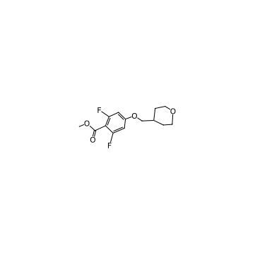 COC(=O)c1c(F)cc(OCC2CCOCC2)cc1F